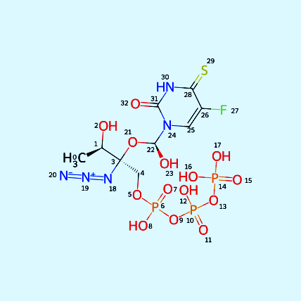 C[C@@H](O)[C@](COP(=O)(O)OP(=O)(O)OP(=O)(O)O)(N=[N+]=[N-])O[C@H](O)n1cc(F)c(=S)[nH]c1=O